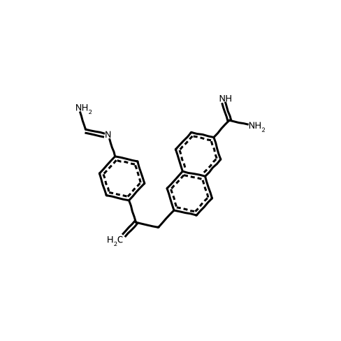 C=C(Cc1ccc2cc(C(=N)N)ccc2c1)c1ccc(/N=C/N)cc1